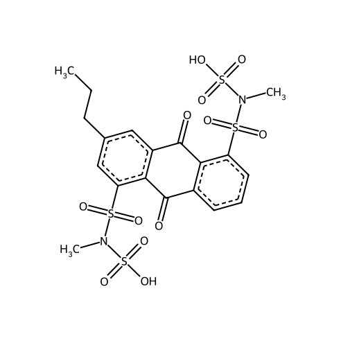 CCCc1cc2c(c(S(=O)(=O)N(C)S(=O)(=O)O)c1)C(=O)c1cccc(S(=O)(=O)N(C)S(=O)(=O)O)c1C2=O